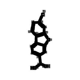 OB(O)c1ccc2c(c1)oc1cc(Cl)ccc12